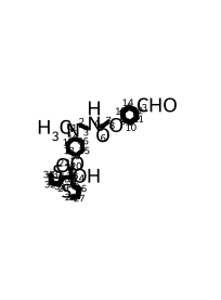 CN(CCNC(=O)COc1ccc(C=O)cc1)C1CCC(OC(=O)C(O)(c2cccs2)c2cccs2)CC1